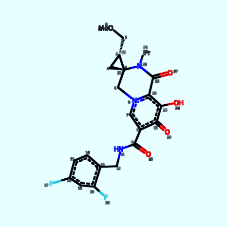 COC[C@H]1C[C@@]12Cn1cc(C(=O)NCc3ccc(F)cc3F)c(=O)c(O)c1C(=O)N2C(C)C